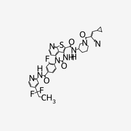 CCC(F)(F)c1ccnc(NC(=O)c2ccc(N3C(=O)Nc4c(C(=O)NC5CCCN(C(=O)/C(C#N)=C/C6CC6)C5)sc5nccc3c45)c(F)c2)c1